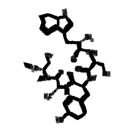 CC(C)C[C@H](NC(=O)[C@@H](C)NC(=O)[C@H](Cc1ccc(O)cc1)NC(=O)[C@H](CO)NC(=O)[C@@H](N)Cc1c[nH]c2ccccc12)C(=O)O